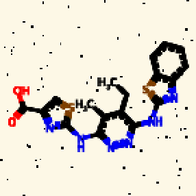 CCc1c(Nc2nc3ccccc3s2)nnc(Nc2nc(C(=O)O)cs2)c1C